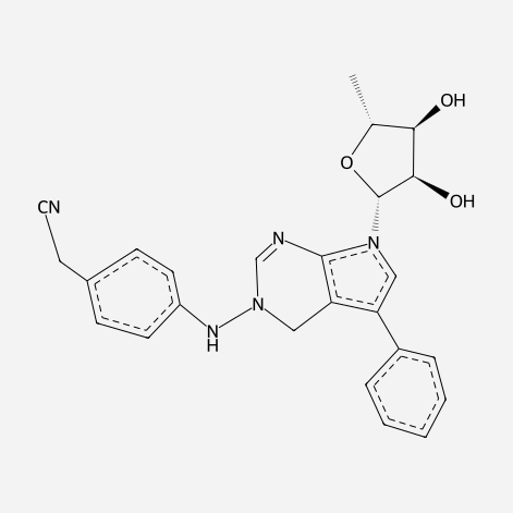 C[C@H]1O[C@@H](n2cc(-c3ccccc3)c3c2N=CN(Nc2ccc(CC#N)cc2)C3)[C@H](O)[C@@H]1O